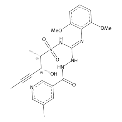 CC#C[C@@H](O)[C@H](C)S(=O)(=O)NC(=Nc1c(OC)cccc1OC)NNC(=O)c1cncc(C)c1